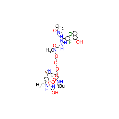 C=CC(=O)N1CCN(c2nc(NCCC(=O)N(C)CCOCCOCCOCCOCC(=O)N[C@H](C(=O)N3C[C@@H](O)C[C@H]3C(=O)N[C@@H](C)c3ccc(-c4scnc4C)cc3)C(C)(C)C)nc3c(F)c(-c4cc(O)cc5ccccc45)c(Cl)cc23)CC1